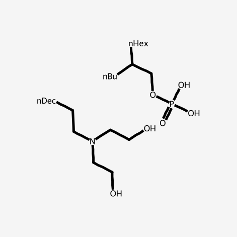 CCCCCCC(CCCC)COP(=O)(O)O.CCCCCCCCCCCCN(CCO)CCO